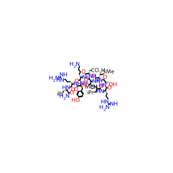 CN[C@@H](CC(C)C)C(=O)N[C@@H](CCCNC(=N)N)C(=O)N[C@@H](CO)C(=O)N[C@@H](CCSC)C(=O)N[C@H](C(=O)N[C@@H](CC(=O)O)C(=O)N[C@@H](CCCCN)C(=O)N[C@@H](Cc1ccc(O)cc1)C(=O)N[C@@H](CCCNC(=N)N)C(=O)N[C@@H](CC(C)C)C(N)=O)[C@@H](C)O